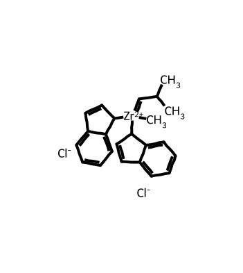 CC(C)[CH]=[Zr+2]([CH3])([CH]1C=Cc2ccccc21)[CH]1C=Cc2ccccc21.[Cl-].[Cl-]